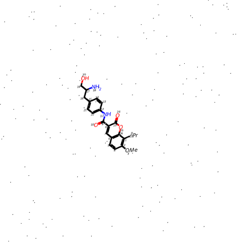 CCCc1c(OC)ccc2cc(C(=O)Nc3ccc(CC(N)CO)cc3)c(=O)oc12